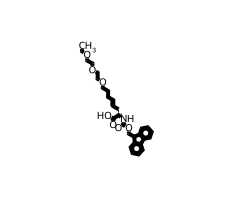 CCOCCOCCOCCCC=CC[C@H](NC(=O)OCC1c2ccccc2-c2ccccc21)C(=O)O